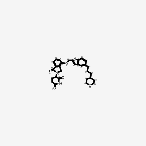 O=C1CCC(N2Cc3c(OCc4cc5cc(CCCC6CCOCC6)ccc5o4)cccc3C2=O)C(=O)N1